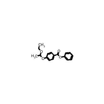 CCOC(C)Oc1ccc(C(=O)Oc2ccccc2)cc1